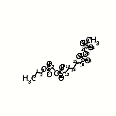 CCCOS(=O)(=O)COS(=O)(=O)CCCCCS(=O)(=O)OCS(C)(=O)=O